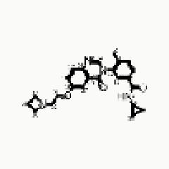 Cc1ccc(C(=O)NC2CC2)cc1-n1cnc2ccc(OCCN3CCC3)cc2c1=O